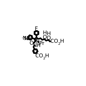 CC(C)n1c(CC[C@@H](O)C[C@@H](O)CC(=O)O)c(-c2ccc(F)cc2)c(-c2ccccc2)c1C(=O)NCc1ccc(C(=O)O)cc1.[Na].[Na]